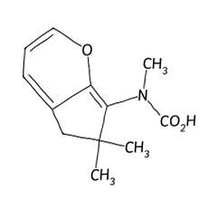 CN(C(=O)O)C1=C2OC=CC=C2CC1(C)C